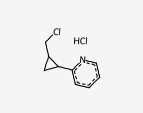 Cl.ClCC1CC1c1ccccn1